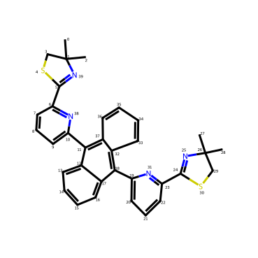 CC1(C)CSC(c2cccc(-c3c4ccccc4c(-c4cccc(C5=NC(C)(C)CS5)n4)c4ccccc34)n2)=N1